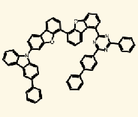 c1ccc(-c2ccc(-c3nc(-c4ccccc4)nc(-c4cccc5oc6c(-c7cccc8c7oc7cc(-n9c%10ccccc%10c%10cc(-c%11ccccc%11)ccc%109)ccc78)cccc6c45)n3)cc2)cc1